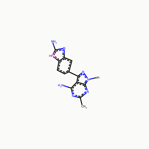 Cc1nc(N)c2c(-c3ccc4[pH]c(N)nc4c3)nn(C(C)C)c2n1